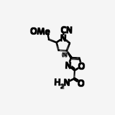 COCC1C[C@H](c2coc(C(N)=O)n2)CN1C#N